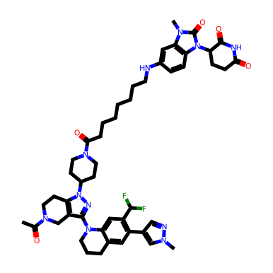 CC(=O)N1CCc2c(c(N3CCCc4cc(-c5cnn(C)c5)c(C(F)F)cc43)nn2C2CCN(C(=O)CCCCCCCNc3ccc4c(c3)n(C)c(=O)n4C3CCC(=O)NC3=O)CC2)C1